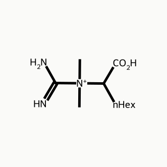 CCCCCCC(C(=O)O)[N+](C)(C)C(=N)N